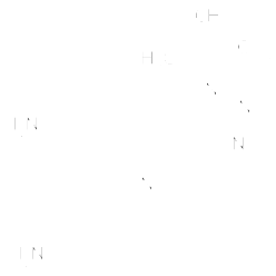 CC(C)(C)n1cc(CN(CCCN)CCCN)nn1